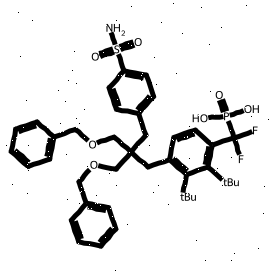 CC(C)(C)c1c(CC(COCc2ccccc2)(COCc2ccccc2)Cc2ccc(S(N)(=O)=O)cc2)ccc(C(F)(F)P(=O)(O)O)c1C(C)(C)C